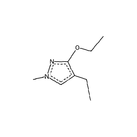 CCOc1nn(C)cc1CC